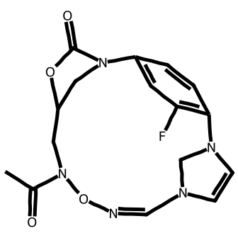 CC(=O)N1CC2CN(C(=O)O2)c2ccc(c(F)c2)N2C=CN(C=NO1)C2